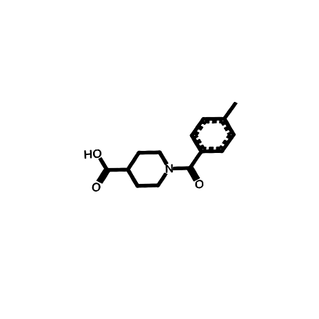 Cc1ccc(C(=O)N2CCC(C(=O)O)CC2)cc1